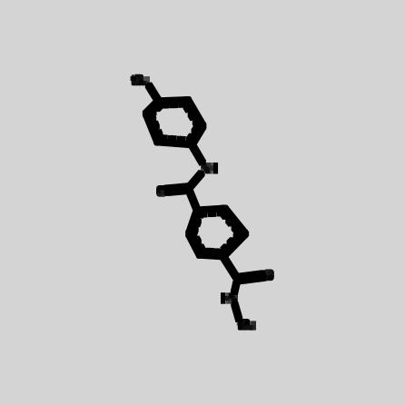 CC(C)(C)NC(=O)c1ccc(C(=O)Nc2ccc(C(C)(C)C)cc2)cc1